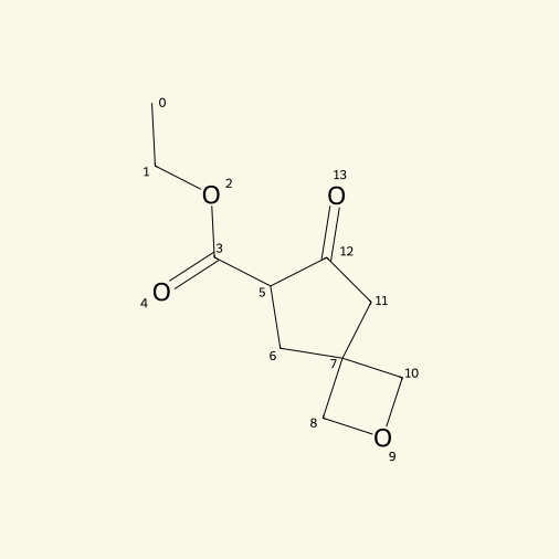 CCOC(=O)C1CC2(COC2)CC1=O